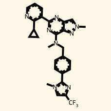 CN(Cc1ccc(-c2nc(C(F)(F)F)cn2C)cc1)c1nc(-c2cccnc2C2CC2)nc2cn(C)nc12